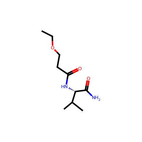 CCOCCC(=O)N[C@H](C(N)=O)C(C)C